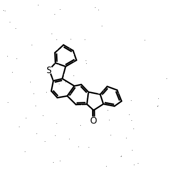 O=C1c2ccccc2-c2cc3c(ccc4sc5ccccc5c43)cc21